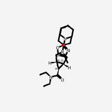 CCN(CC)C(=O)[C@H]1[C@@H]2CN(C3CC4CCCC(C3)N4c3nc(C)no3)C[C@@H]21